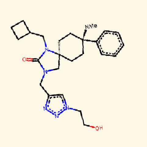 CN[C@]1(c2ccccc2)CC[C@]2(CC1)CN(Cc1cn(CCO)nn1)C(=O)N2CC1CCC1